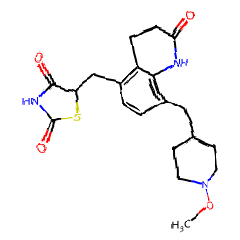 CON1CCC(Cc2ccc(CC3SC(=O)NC3=O)c3c2NC(=O)CC3)CC1